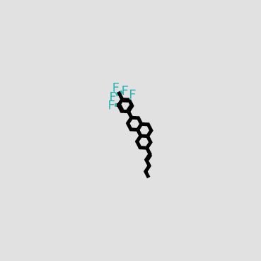 CCC/C=C/C1CCC2C(CCC3CC(c4cc(F)c(C(F)(F)F)c(F)c4)CCC32)C1